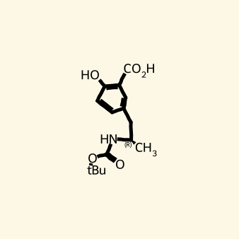 C[C@H](Cc1ccc(O)c(C(=O)O)c1)NC(=O)OC(C)(C)C